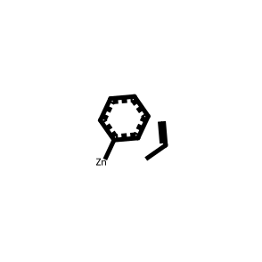 C=CC.[Zn][c]1ccccc1